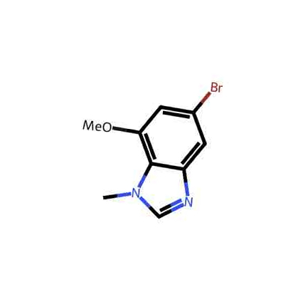 COc1cc(Br)cc2ncn(C)c12